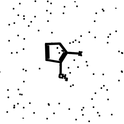 CC1=[C]([K])CC=C1